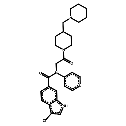 O=C(CN(C(=O)c1ccc2c(Cl)c[nH]c2c1)c1ccncc1)N1CCC(CN2CCCCC2)CC1